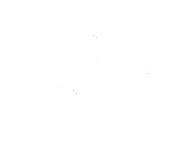 FC12CC3CC(C1)C(Nc1ccc4ncc(-c5ccncc5)n4n1)C(C3)C2